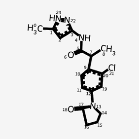 Cc1cc(NC(=O)C(C)c2ccc(N3CCCC3=O)cc2Cl)n[nH]1